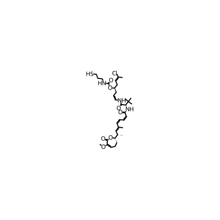 COC1=CCC[C@@H]([C@@H](C)/C=C(C)/C=C\C=C/C(=O)N[C@H](C(=O)N/C=C\C[C@H](C/C=C(\C)Cl)OC(=O)NCCCS)C(C)(C)C)OC1=O